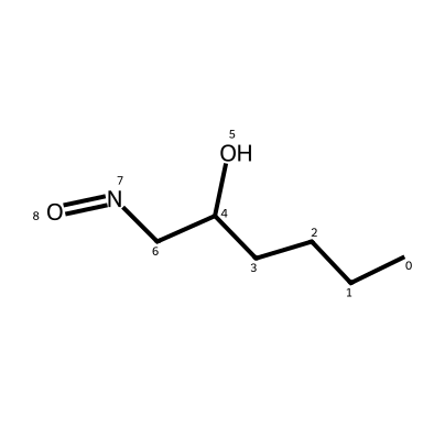 CCCCC(O)CN=O